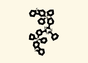 c1ccc(-c2nc(-c3cccc([Si](c4ccccc4)(c4ccccc4)c4ccc5sc6ccccc6c5c4)c3)nc(-c3cccc([Si](c4ccccc4)(c4ccccc4)c4ccc5sc6ccccc6c5c4)c3)n2)cc1